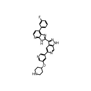 Fc1cccc(-c2ccnc3[nH]c(-c4n[nH]c5cnc(-c6cncc(OC7CCNCC7)c6)cc45)nc23)c1